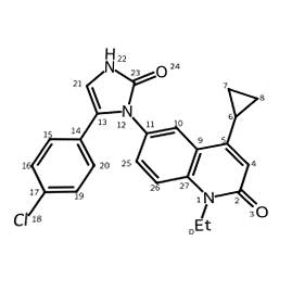 CCn1c(=O)cc(C2CC2)c2cc(-n3c(-c4ccc(Cl)cc4)c[nH]c3=O)ccc21